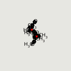 COc1ccc(CN2CCN(c3nc4c(c(=O)n3-c3cc(C)c(F)c(C)c3)CCN(C(=O)c3cc5cc(C6CCOCC6)ccc5n3[C@@]3(c5noc(=O)[nH]5)C[C@@H]3C)[C@H]4C)C2=O)cc1